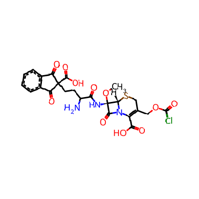 CO[C@@]1(NC(=O)C(N)CCC2(C(=O)O)C(=O)c3ccccc3C2=O)C(=O)N2C(C(=O)O)=C(COC(=O)Cl)CS[C@H]21